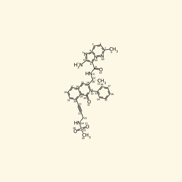 Cc1ccc2nc(N)c(C(=O)N[C@H](C)c3cc4cccc(C#CCNS(C)(=O)=O)c4c(=O)n3-c3ccccc3)n2n1